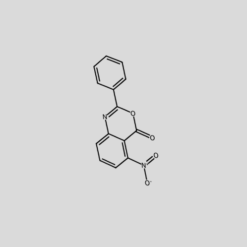 O=c1oc(-c2ccccc2)nc2cccc([N+](=O)[O-])c12